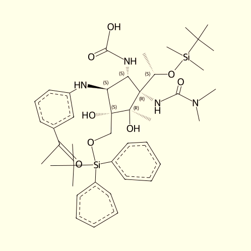 CC(=O)c1cccc(N[C@H]2[C@H](NC(=O)O)[C@@](NC(=O)N(C)C)([C@H](C)O[Si](C)(C)C(C)(C)C)[C@@](C)(O)[C@@]2(O)CO[Si](c2ccccc2)(c2ccccc2)C(C)(C)C)c1